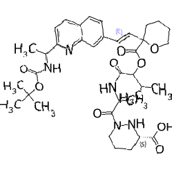 CC(NC(=O)C(OC(=O)C1(/C=C/c2ccc3ccc(C(C)NC(=O)OC(C)(C)C)nc3c2)CCCCO1)C(C)C)C(=O)N1CCC[C@@H](C(=O)O)N1